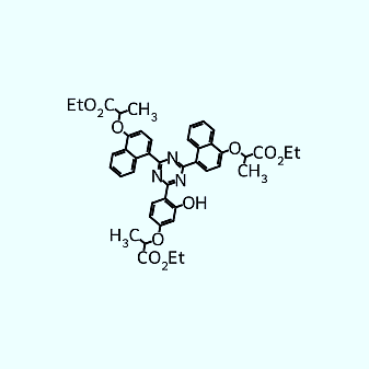 CCOC(=O)C(C)Oc1ccc(-c2nc(-c3ccc(OC(C)C(=O)OCC)c4ccccc34)nc(-c3ccc(OC(C)C(=O)OCC)c4ccccc34)n2)c(O)c1